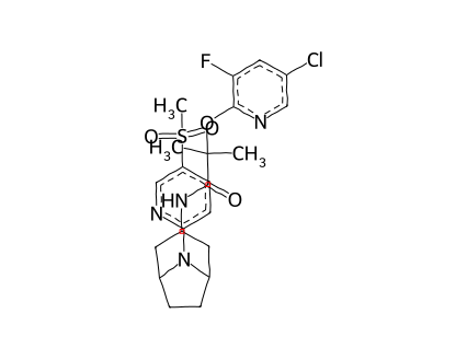 CC(C)(Oc1ncc(Cl)cc1F)C(=O)NC1CC2CCC(C1)N2c1ccc(S(C)(=O)=O)cn1